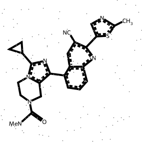 CNC(=O)N1CCn2c(C3CC3)nc(-c3cccc4nc(-c5cnc(C)s5)c(C#N)cc34)c2C1